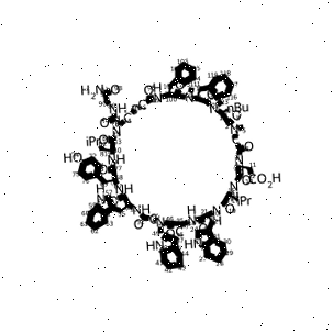 CCCC[C@H]1C(=O)N(C)CC(=O)N[C@@H](CC(=O)O)C(=O)N[C@@H](C(C)C)C(=O)N[C@@H](Cc2c[nH]c3ccccc23)C(=O)N[C@@H](Cc2c[nH]c3ccccc23)C(=O)N(C)CC(=O)N[C@@H](Cc2c[nH]c3ccccc23)C(=O)N[C@@H](Cc2ccc(O)cc2)C(=O)N[C@@H](CC(C)C)C(=O)N[C@H](C(=O)NCC(N)=O)CSCC(=O)N[C@@H](Cc2ccccc2)C(=O)N(C)[C@@H](Cc2ccccc2)C(=O)N1C